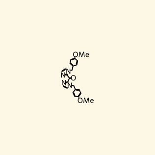 COc1ccc(Cn2ccnc2C(=O)c2nccn2Cc2ccc(OC)cc2)cc1